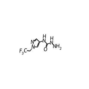 NNC(=O)Nc1cnn(CC(F)(F)F)c1